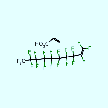 C=CC(=O)O.FC(F)=C(F)C(F)(F)C(F)(F)C(F)(F)C(F)(F)C(F)(F)C(F)(F)C(F)(F)C(F)(F)F